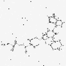 C=CC(=O)NCCC(=O)N1CCC(c2cc3nc(-c4cccc5[nH]ncc45)nc(N4CCOCC4)c3s2)CC1